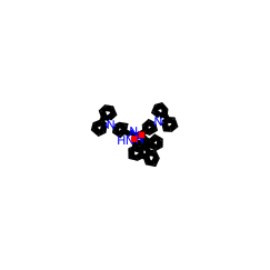 c1ccc2c(c1)-c1ccccc1C21c2ccccc2-c2cccc(C3N=C(c4ccc(-n5c6ccccc6c6ccccc65)cc4)N=C(c4ccc(-n5c6ccccc6c6ccccc65)cc4)N3)c21